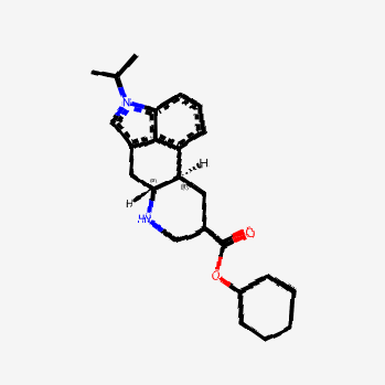 CC(C)n1cc2c3c(cccc31)[C@H]1CC(C(=O)OC3CCCCC3)CN[C@@H]1C2